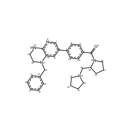 O=C(c1ccc(-c2cnc3c(c2)N(Cc2ccccc2)CCN3)cc1)N1CCCC1CN1CCCC1